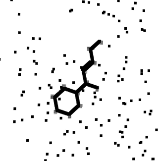 CCC=CC(C)C1CCCCC1